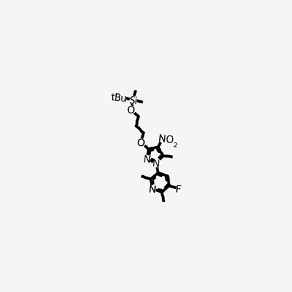 Cc1nc(C)c(-n2nc(OCCCO[Si](C)(C)C(C)(C)C)c([N+](=O)[O-])c2C)cc1F